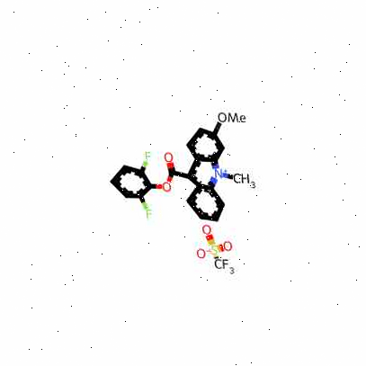 COc1ccc2c(C(=O)Oc3c(F)cccc3F)c3ccccc3[n+](C)c2c1.O=S(=O)([O-])C(F)(F)F